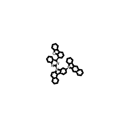 c1ccc2cc3c(cc2c1)c1ccccc1n3-c1ccc2c3c4ccccc4ccc3n(-c3nc(-c4cccc5c4oc4ccccc45)c4ccccc4n3)c2c1